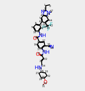 CCc1nc2cc(-c3cccc(NC(=O)c4ccc(NC(=O)/C=C/CN[C@H]5CC[C@H](OC)CC5)c(C#N)c4)c3)c(C(F)(F)F)cc2n1C